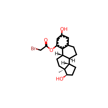 C[C@]12CC[C@@H]3c4c(cc(O)cc4OC(=O)CBr)CC[C@H]3[C@@H]1CC[C@H]2O